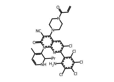 C=CC(=O)N1CCN(c2c(C#N)c(=O)n(C3=C(C)C=CNC3C(C)C)c3nc(-c4c(N)c(Cl)c(Cl)c(Cl)c4Cl)c(Cl)cc23)CC1